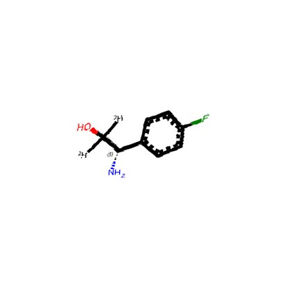 [2H]C([2H])(O)[C@@H](N)c1ccc(F)cc1